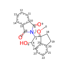 COC1(C(C(C)O)N2C(=O)c3ccccc3C2=O)CCc2ccccc21